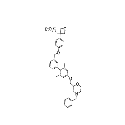 CCOC(=O)CC1(c2ccc(OCc3cccc(-c4c(C)cc(OCC5CN(Cc6ccccc6)CCO5)cc4C)c3)cc2)COC1